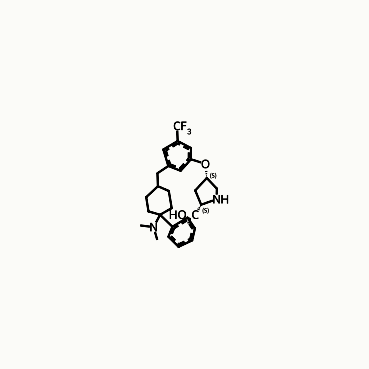 CN(C)C1(c2ccccc2)CCC(Cc2cc(O[C@@H]3CN[C@H](C(=O)O)C3)cc(C(F)(F)F)c2)CC1